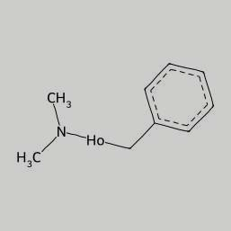 C[N](C)[Ho][CH2]c1ccccc1